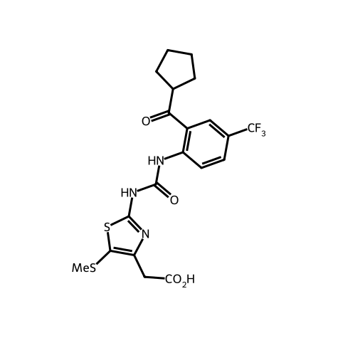 CSc1sc(NC(=O)Nc2ccc(C(F)(F)F)cc2C(=O)C2CCCC2)nc1CC(=O)O